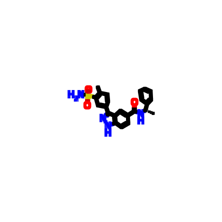 Cc1ccc(-c2n[nH]c3ccc(C(=O)N[C@@H](C)c4ccccc4)cc23)cc1S(N)(=O)=O